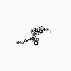 CCCCCCCCCOCCCOP(=O)(OC[C@H]1O[C@@](C)(c2ccc3c(N)ncnn23)[C@@H]2OC(C)(C)O[C@@H]21)Oc1ccccc1Cl